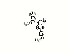 COc1ccc(CN2CCC(F)(F)C[C@@H](NC(=O)c3ccc(OC)nc3)C2=O)c(OC)c1